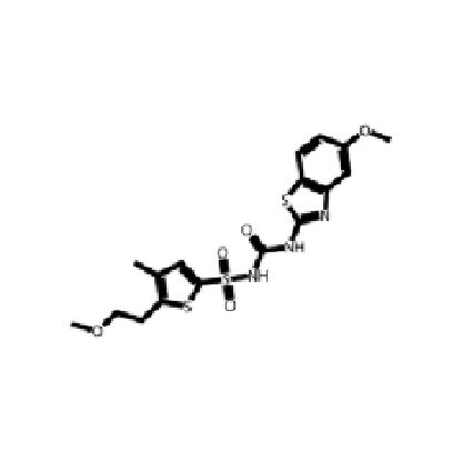 COCCc1sc(S(=O)(=O)NC(=O)Nc2nc3cc(OC)ccc3s2)cc1C